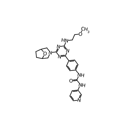 COCCNc1nc(-c2ccc(NC(=O)Nc3cccnc3)cc2)nc(N2CC3CCC(C2)O3)n1